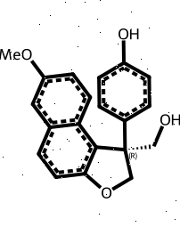 COc1ccc2c3c(ccc2c1)OC[C@]3(CO)c1ccc(O)cc1